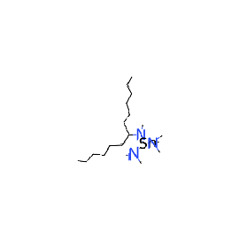 CCCCCCC(CCCCCC)[N](C)[Sn]([N](C)C)[N](C)C